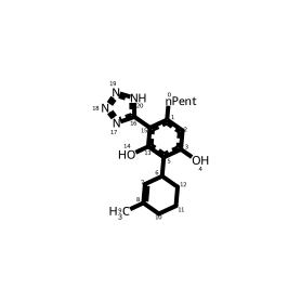 CCCCCc1cc(O)c(C2C=C(C)CCC2)c(O)c1-c1nnn[nH]1